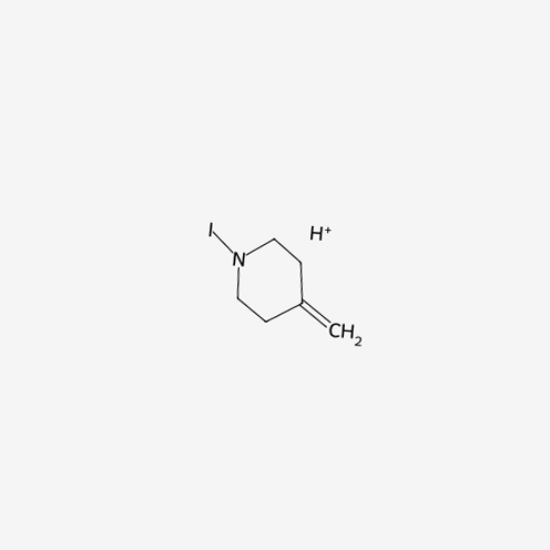 C=C1CCN(I)CC1.[H+]